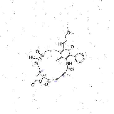 CO[C@H]1/C=C\C=C(/C)C(=O)NC2=C(c3ccccc3)C(=O)C(NCCN(C)C)=C(C[C@@H](C)C[C@H](OC)[C@H](O)[C@@H](C)/C=C(\C)[C@@H]1OC=O)C2=O